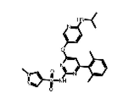 Cc1cccc(C)c1-c1cc(Oc2ccc(NC(C)C)nc2)nc(NS(=O)(=O)c2cnn(C)c2)n1